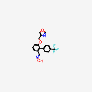 ON=Cc1cccc(OCc2cocn2)c1-c1ccc(C(F)(F)F)cc1